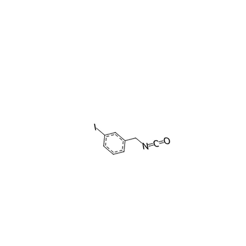 O=C=NCc1cccc(I)c1